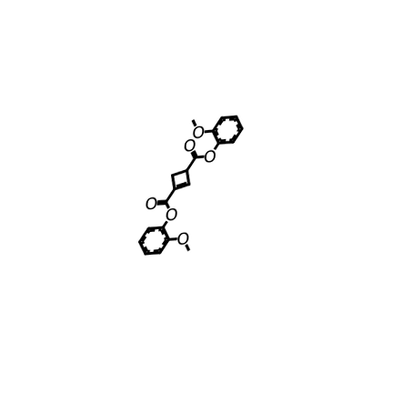 COc1ccccc1OC(=O)C1=CC(C(=O)Oc2ccccc2OC)C1